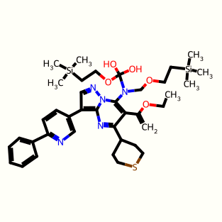 C=C(OCC)c1c(C2CCSCC2)nc2c(-c3ccc(-c4ccccc4)nc3)cnn2c1N(COCC[Si](C)(C)C)C(O)(O)OCC[Si](C)(C)C